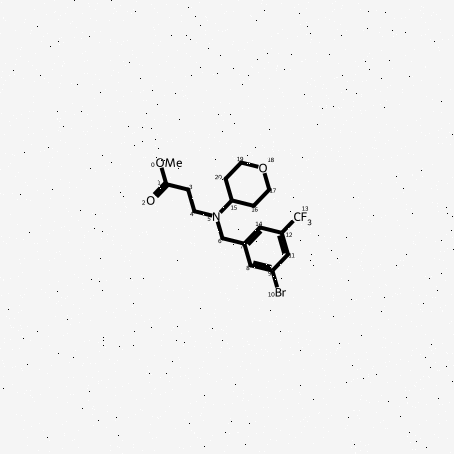 COC(=O)CCN(Cc1cc(Br)cc(C(F)(F)F)c1)C1CCOCC1